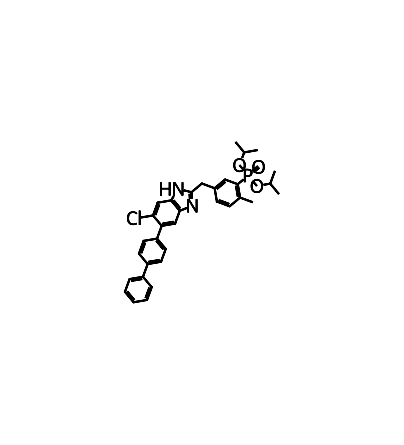 Cc1ccc(Cc2nc3cc(-c4ccc(-c5ccccc5)cc4)c(Cl)cc3[nH]2)cc1P(=O)(OC(C)C)OC(C)C